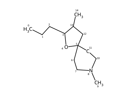 CCCC1OC2(CCN(C)CC2)CC1C